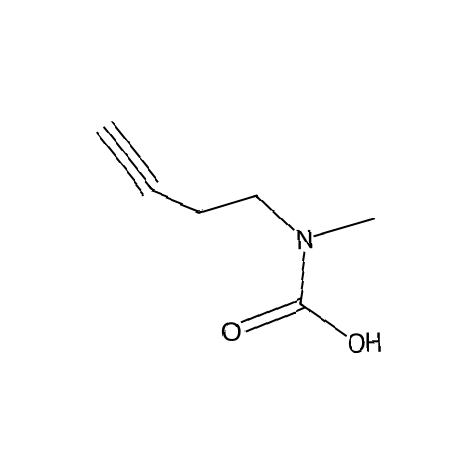 C#CCCN(C)C(=O)O